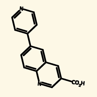 O=C(O)c1cnc2ccc(-c3ccncc3)cc2c1